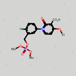 CCOc1ccn(-c2ccc(F)c(COP(=O)(OC(C)(C)C)OC(C)(C)C)c2)c(=O)c1C(=O)O